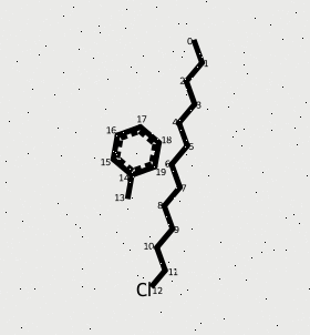 CCCCCCCCCCCCCl.Cc1ccccc1